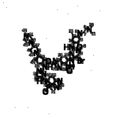 COc1cc(N(C)CCN(C)C)c(C)cc1Nc1ncc(Br)c(Nc2ccc3nc(COc4cc(N5CCC(N6CCN(C)CC6)CC5)c(C)cc4Nc4ncc(C)c(Nc5ccc6nccnc6c5P(C)(C)=O)n4)cnc3c2P(C)(C)=O)n1